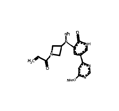 C=CC(=O)N1CC(N(CCC)c2cc(-c3cc(OC)ncn3)c[nH]c2=O)C1